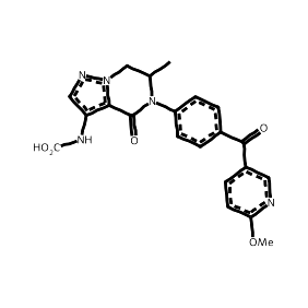 COc1ccc(C(=O)c2ccc(N3C(=O)c4c(NC(=O)O)cnn4CC3C)cc2)cn1